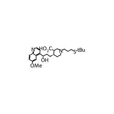 COc1ccc2nccc([C@H](O)CC[C@@H]3CCN(CCCSC(C)(C)C)C[C@@H]3C(=O)O)c2c1